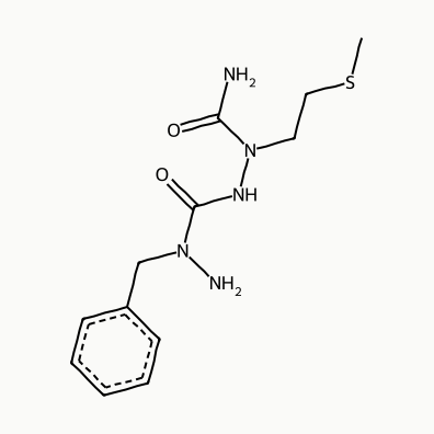 CSCCN(NC(=O)N(N)Cc1ccccc1)C(N)=O